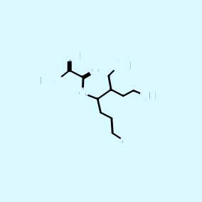 C=C(C)C(=O)OC(CCCC)C(CO)CCC